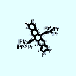 Cc1cc2cc3c(C#C[Si](C(C)C)(C(C)C)C(C)C)c4cc5cc(F)c(F)cc5cc4c(C#C[Si](C(C)C)(C(C)C)C(C)C)c3cc2cc1F